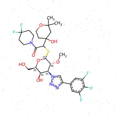 CO[C@@H]1[C@@H](n2cc(-c3cc(F)c(F)c(F)c3)nn2)[C@@H](O)[C@@H](CO)O[C@H]1SC(C(=O)N1CCC(F)(F)CC1)C1(O)CCOC(C)(C)C1